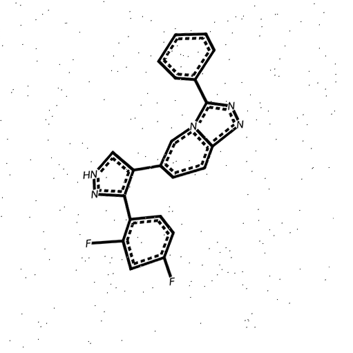 Fc1ccc(-c2n[nH]cc2-c2ccc3nnc(-c4ccccc4)n3c2)c(F)c1